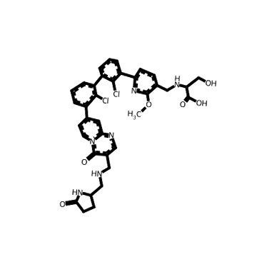 COc1nc(-c2cccc(-c3cccc(-c4ccn5c(=O)c(CNCC6CCC(=O)N6)cnc5c4)c3Cl)c2Cl)ccc1CNC(CO)C(=O)O